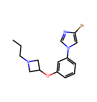 CCCN1CC(Oc2cccc(-n3cnc(Br)c3)c2)C1